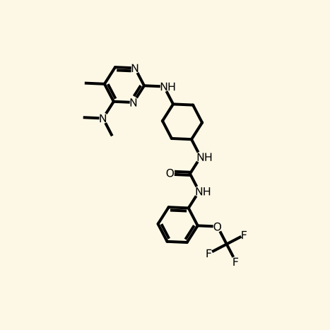 Cc1cnc(NC2CCC(NC(=O)Nc3ccccc3OC(F)(F)F)CC2)nc1N(C)C